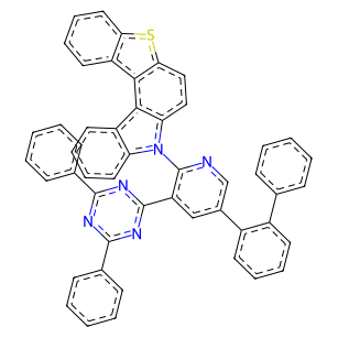 c1ccc(-c2nc(-c3ccccc3)nc(-c3cc(-c4ccccc4-c4ccccc4)cnc3-n3c4ccccc4c4c5c(ccc43)sc3ccccc35)n2)cc1